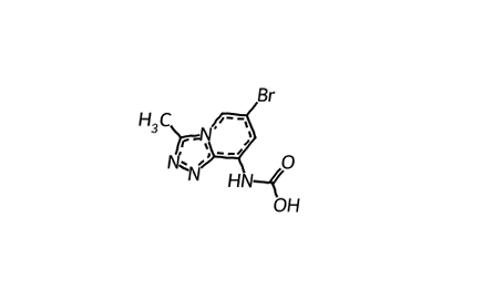 Cc1nnc2c(NC(=O)O)cc(Br)cn12